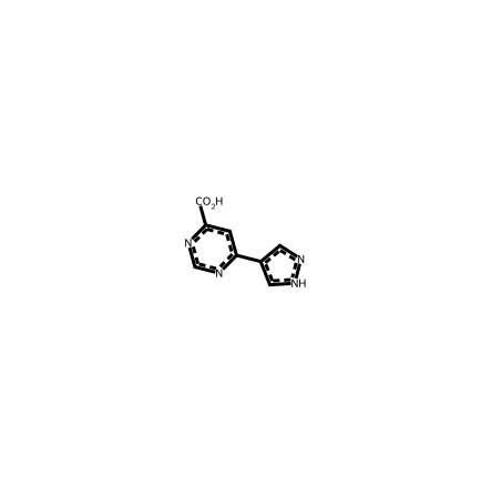 O=C(O)c1cc(-c2cn[nH]c2)ncn1